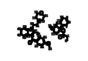 CCC(=O)OC1(c2ccccc2)CCN(C)C1C.COc1ccc(C(=O)c2c(C)n(CCN3CCOCC3)c3ccccc23)cc1